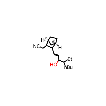 CCCCC(CC)C(O)C=CC1C(CC#N)[C@H]2CC[C@H]1C2